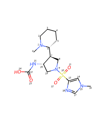 CN1CCCC[C@@H]1[C@H]1CN(S(=O)(=O)c2cn(C)cn2)C[C@@H]1NC(=O)O